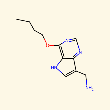 CCCCOc1ncnc2c(CN)c[nH]c12